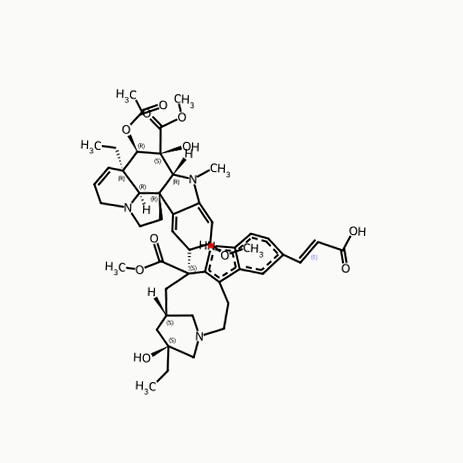 CC[C@]1(O)C[C@H]2CN(CCc3c([nH]c4ccc(/C=C/C(=O)O)cc34)[C@@](C(=O)OC)(C3C=C4C(=CC3OC)N(C)[C@H]3[C@@](O)(C(=O)OC)[C@H](OC(C)=O)[C@]5(CC)C=CCN6CC[C@]43[C@@H]65)C2)C1